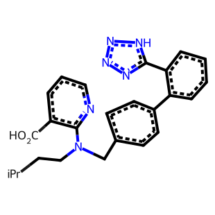 CC(C)CCN(Cc1ccc(-c2ccccc2-c2nnn[nH]2)cc1)c1ncccc1C(=O)O